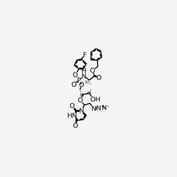 C[C@H](NP(=O)(OC[C@@H](OC(CN=[N+]=[N-])n1ccc(=O)[nH]c1=O)[C@H](C)O)Oc1ccc(F)cc1)C(=O)OCc1ccccc1